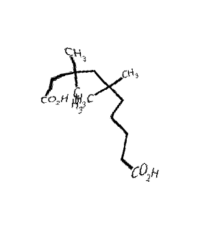 CC(C)(CCCCC(=O)O)CC(C)(C)CC(=O)O